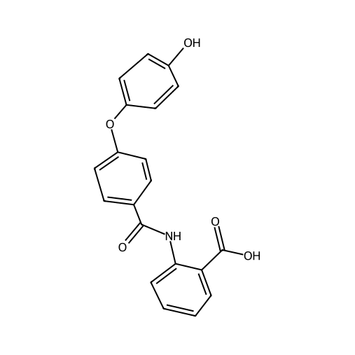 O=C(Nc1ccccc1C(=O)O)c1ccc(Oc2ccc(O)cc2)cc1